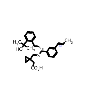 C/C=C/c1cccc([C@@H](CCc2ccccc2C(C)(C)O)SCC2(CC(=O)O)CC2)c1